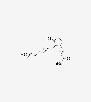 CCCCC(=O)/C=C/C1CCC(=O)C1C/C=C/CCC(=O)O